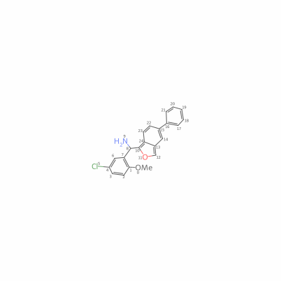 COc1ccc(Cl)cc1C(N)c1occ2cc(-c3ccccc3)ccc12